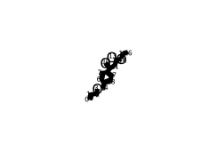 C=CCOCc1ccc(C(=O)CC(=O)OCC)cc1